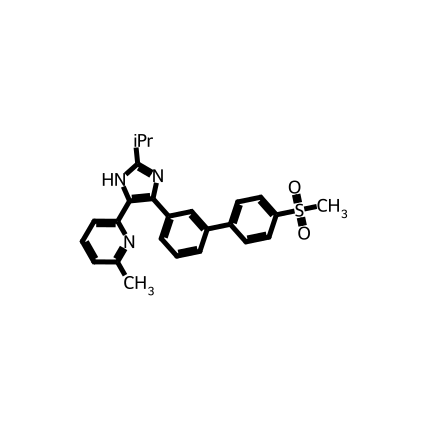 Cc1cccc(-c2[nH]c(C(C)C)nc2-c2cccc(-c3ccc(S(C)(=O)=O)cc3)c2)n1